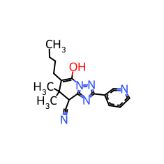 CCCCC1=C(O)n2nc(-c3cccnc3)nc2C(C#N)C1(C)C